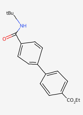 CCOC(=O)c1ccc(-c2ccc(C(=O)NC(C)(C)C)cc2)cc1